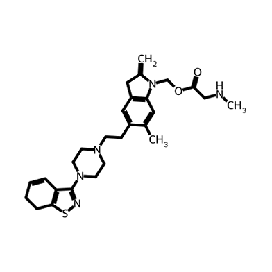 C=C1Cc2cc(CCN3CCN(c4nsc5c4C=CCC5)CC3)c(C)cc2N1COC(=O)CNC